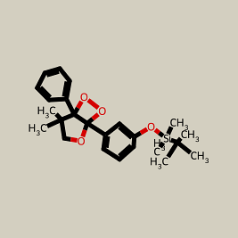 CC1(C)COC2(c3cccc(O[Si](C)(C)C(C)(C)C)c3)OOC12c1ccccc1